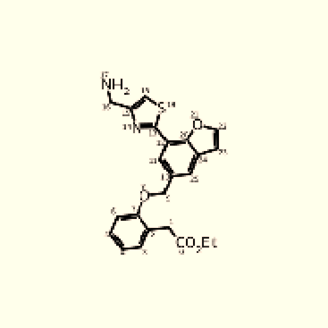 CCOC(=O)Cc1ccccc1OCc1cc(-c2nc(CN)cs2)c2occc2c1